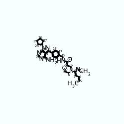 C=N/C(=C\C=C/C)N1CCOC(C(=O)NCc2ccc(-c3nn(C4CCCC4)c4ncnc(N)c34)cc2)C1